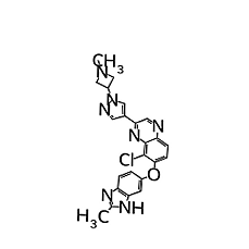 Cc1nc2ccc(Oc3ccc4ncc(-c5cnn(C6CN(C)C6)c5)nc4c3Cl)cc2[nH]1